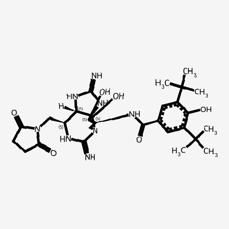 CC(C)(C)c1cc(C(=O)N[C@H]2CN3C(=N)N[C@@H](CN4C(=O)CCC4=O)[C@@H]4NC(=N)N[C@@]43C2(O)O)cc(C(C)(C)C)c1O